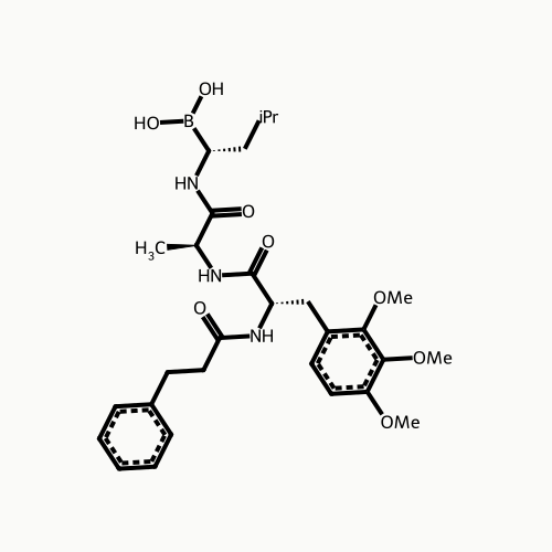 COc1ccc(C[C@H](NC(=O)CCc2ccccc2)C(=O)N[C@@H](C)C(=O)N[C@@H](CC(C)C)B(O)O)c(OC)c1OC